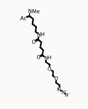 CN[C@@H](CCCCNC(=O)CCCC(=O)NCCOCCOCCN=[N+]=[N-])C(C)=O